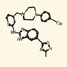 Cc1noc(-c2ccc3nc(Nc4cc(CN5CCN(c6ccc(C#N)cc6)CC5)ccn4)[nH]c3c2)n1